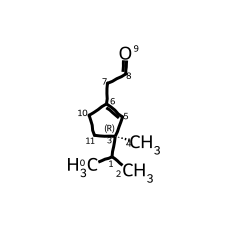 CC(C)[C@]1(C)C=C(CC=O)CC1